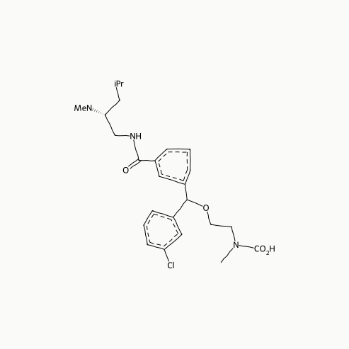 CN[C@@H](CNC(=O)c1cccc(C(OCCN(C)C(=O)O)c2cccc(Cl)c2)c1)CC(C)C